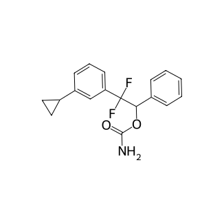 NC(=O)OC(c1ccccc1)C(F)(F)c1cccc(C2CC2)c1